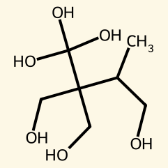 CC(CO)C(CO)(CO)C(O)(O)O